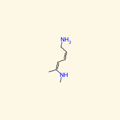 CN/C(C)=C\C=C/CN